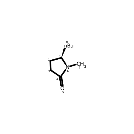 CCCC[C@@H]1CCC(=O)N1C